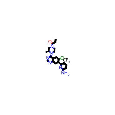 C=CC(=O)N1CCN(c2ncnc3cc(-c4nc(N)ccc4C(F)(F)F)c(Cl)cc23)C(C)C1